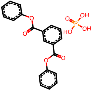 O=C(Oc1ccccc1)c1cccc(C(=O)Oc2ccccc2)c1.O=P(O)(O)O